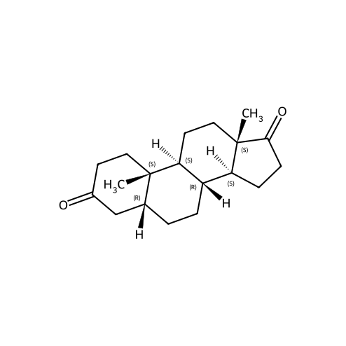 C[C@]12CCC(=O)C[C@H]1CC[C@@H]1[C@@H]2CC[C@]2(C)C(=O)CC[C@@H]12